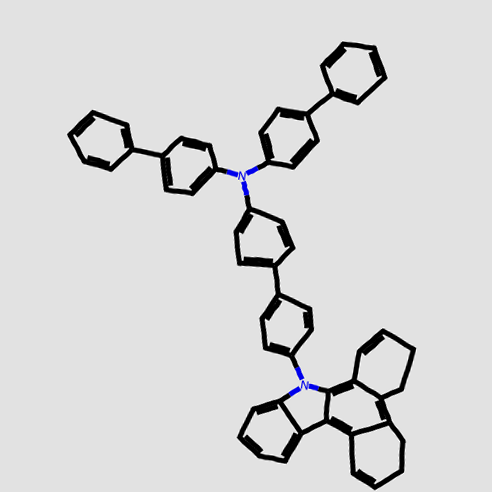 C1=Cc2c(c3c(c4c2c2ccccc2n4-c2ccc(-c4ccc(N(c5ccc(-c6ccccc6)cc5)c5ccc(-c6ccccc6)cc5)cc4)cc2)C=CCC3)CC1